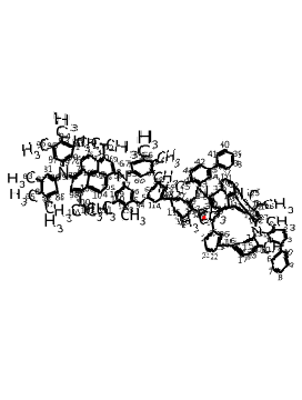 Cc1ccc(-c2ccccc2)cc1N1c2cc(ccc2C)-c2cccc(c2)C(C)c2cc(N(c3cc(-c4ccccc4)ccc3C)c3cc(-c4cccc(Cc5cc(N(c6cc(C)c(C)c(C)c6)c6cc(C(C)C)c7ccc8c(N(c9cc(C)c(C)c(C)c9)c9cc(C)c(C)c(C)c9)cc(C(C)C)c9ccc6c7c98)cc(C)c5C)c4)ccc3C)c3ccc4c(C(C)C)cc1c1ccc2c3c41